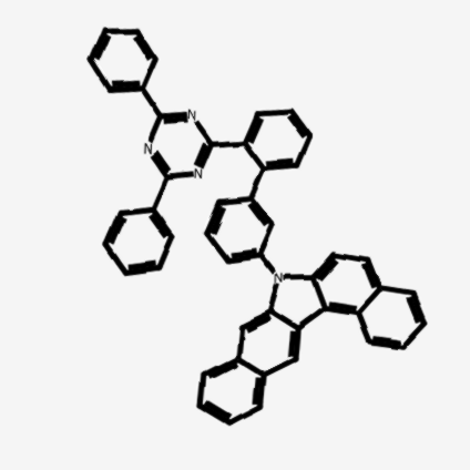 c1ccc(-c2nc(-c3ccccc3)nc(-c3ccccc3-c3cccc(-n4c5cc6ccccc6cc5c5c6ccccc6ccc54)c3)n2)cc1